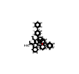 C=C/C(=C1\C(=C(/C)O)c2ccccc2C1(c1ccccc1)c1ccccc1)N(c1ccc(-c2ccccc2)cc1)c1ccc(-c2ccccc2)cc1